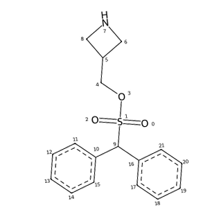 O=S(=O)(OCC1CNC1)C(c1ccccc1)c1ccccc1